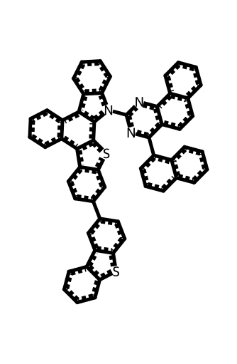 c1ccc2c(-c3nc(-n4c5ccccc5c5c6ccccc6c6c7ccc(-c8ccc9sc%10ccccc%10c9c8)cc7sc6c54)nc4c3ccc3ccccc34)cccc2c1